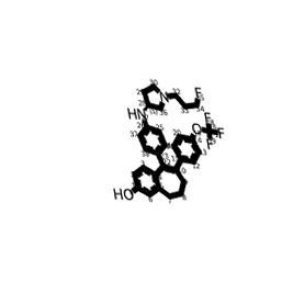 Oc1ccc2c(c1)CCCC(c1ccc(OC(F)(F)F)cc1)=C2c1ccc(N[C@H]2CCN(CCCF)C2)cc1